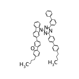 CCCCc1ccc(-c2ccc(-c3nc(-c4cccc(-c5ccccc5)c4)nc(-n4c5ccccc5c5ccc(-c6ccc7c(c6)oc6cc(CCCC)ccc67)cc54)n3)cc2)cc1